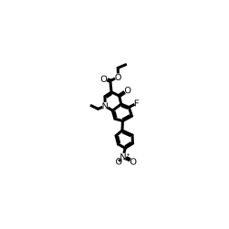 CCOC(=O)c1cn(CC)c2cc(-c3ccc([N+](=O)[O-])cc3)cc(F)c2c1=O